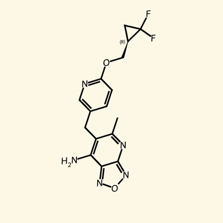 Cc1nc2nonc2c(N)c1Cc1ccc(OC[C@H]2CC2(F)F)nc1